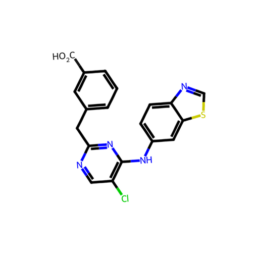 O=C(O)c1cccc(Cc2ncc(Cl)c(Nc3ccc4ncsc4c3)n2)c1